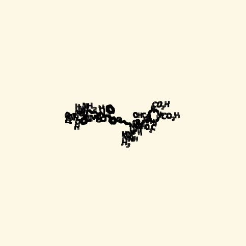 CCC(=O)NCCNC(=O)/N=C(/N)NCCC[C@@H](NC(=O)[C@H](c1ccccc1)c1cccc(OCCCCNC(=O)[C@@H](CCCNC(=N)N)NC(=O)CCNC(C=O)N2CCN(CC(=O)O)CCN(CC(=O)O)CCN(CC(=O)O)CC2)c1)C(=O)NCc1ccc(O)cc1